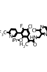 C=C(C(=O)NCc1nccnc1Cl)c1cc(Cl)c(F)c(-c2ccc(C(F)(F)F)nc2)c1OC(C)C